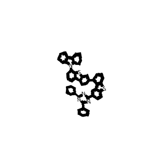 c1ccc(-c2nc(-c3ccccc3)nc(-c3ccc4sc5cccc(-c6ccc7c(c6)sc6c(-n8c9ccccc9c9ccccc98)cccc67)c5c4c3)n2)cc1